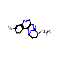 O=C(O)N1CCCn2c1nc1cnc3cc(Br)ccc3c12